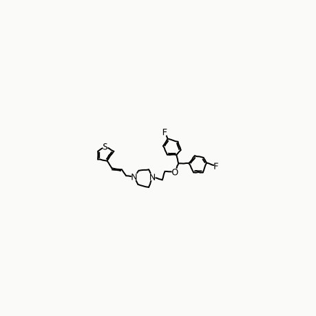 Fc1ccc(C(OCCN2CCN(CC=Cc3ccsc3)CC2)c2ccc(F)cc2)cc1